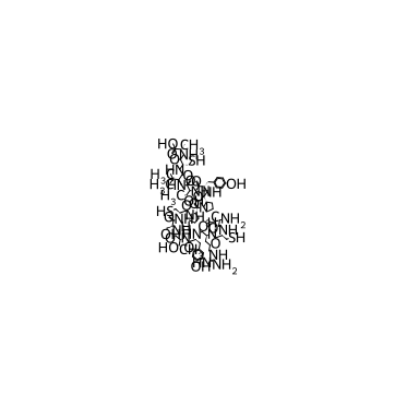 CC(C)[C@H](NC(=O)C(NC(=O)[C@H](Cc1ccc(O)cc1)NC(=O)[C@@H]1CCCN1C(=O)[C@@H]1CCCN1C(=O)[C@H](CS)NC(=O)[C@H](CO)NC(=O)C(NC(=O)[C@H](Cc1ccc(O)cc1)NC(=O)[C@H](CCCNC(=N)N)NC(=O)[C@H](CS)NC(=O)[C@H](C)N)[C@@H](C)O)[C@@H](C)O)C(=O)N[C@@H](CS)C(=O)N[C@@H](C)C(=O)O